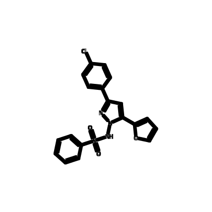 O=S(=O)(Nn1nc(-c2ccc(Cl)cc2)cc1-c1ccco1)c1ccccc1